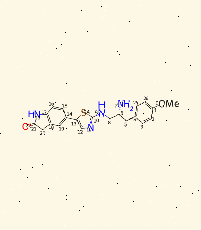 COc1ccc(C[C@@H](N)CNc2ncc(-c3ccc4c(c3)CC(=O)N4)s2)cc1